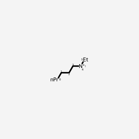 CCCCCC[N+]CC